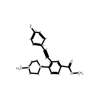 COC(=O)c1ccc(N2CCN(C)CC2)c(C#Cc2ccc(F)cc2)c1